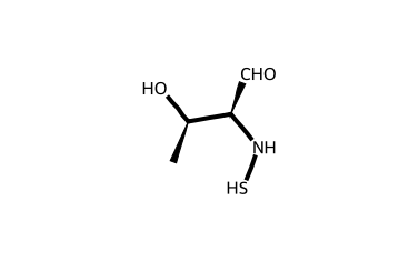 C[C@@H](O)[C@@H](C=O)NS